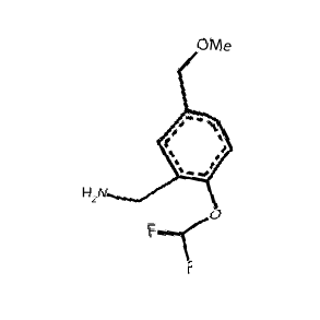 COCc1ccc(OC(F)F)c(CN)c1